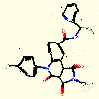 C[C@H](NC(=O)c1ccc2c(c1)C1C(=O)N(C)C(=O)C1C(=O)N2c1ccc(C(F)(F)F)cc1)c1ccccn1